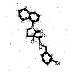 O=C(NCc1cccc(Br)c1)[C@]1(O)CCN(c2cccc3ccccc23)C1=O